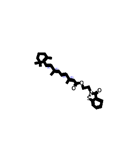 CC1=C(/C=C/C(C)=C/C=C/C(C)=C/C(=O)OCCn2sc3ccccc3c2=O)C(C)(C)CCC1